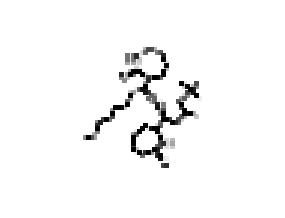 CC(CC(=O)C1CCCCC(=O)N1)CC(C)(C)C.CCCCCCCC(=O)C1CCCCNC1=O